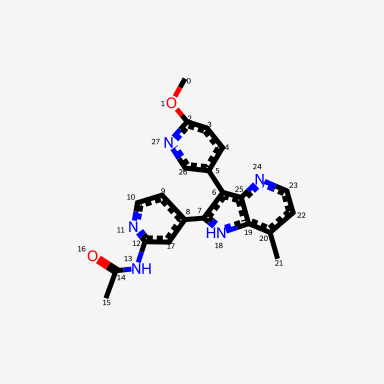 COc1ccc(-c2c(-c3ccnc(NC(C)=O)c3)[nH]c3c(C)ccnc23)cn1